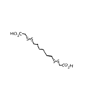 O=C(O)CSSCCCCCCSSCC(=O)O